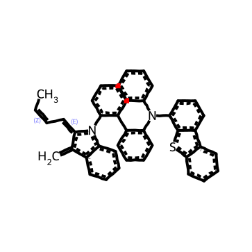 C=c1/c(=C\C=C/C)n(-c2ccccc2-c2ccccc2N(c2ccccc2)c2cccc3c2sc2ccccc23)c2ccccc12